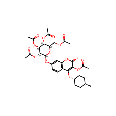 CC(=O)OC[C@H]1O[C@@H](Oc2ccc3c(O[C@H]4CC[C@H](C)CC4)c(OC(C)=O)c(=O)oc3c2)[C@H](OC(C)=O)[C@@H](OC(C)=O)[C@@H]1OC(C)=O